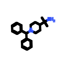 CC(C)(N)C1CCN(C(c2ccccc2)c2ccccc2)CC1